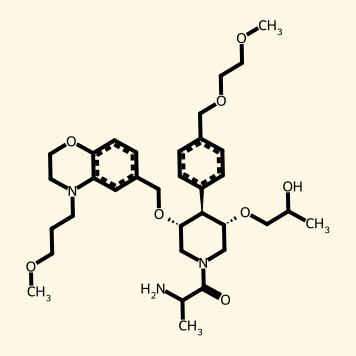 COCCCN1CCOc2ccc(CO[C@H]3CN(C(=O)C(C)N)C[C@@H](OCC(C)O)[C@@H]3c3ccc(COCCOC)cc3)cc21